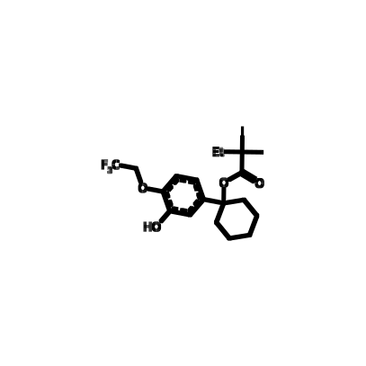 CCC(C)(I)C(=O)OC1(c2ccc(OCC(F)(F)F)c(O)c2)CCCCC1